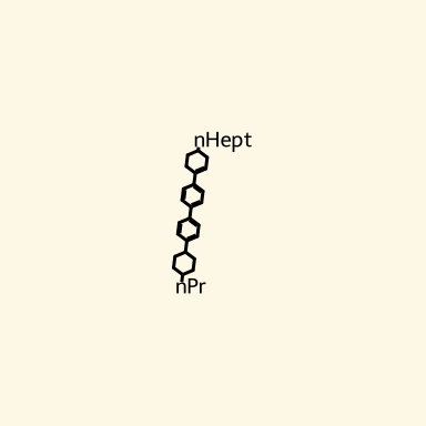 CCCCCCCC1CC=C(c2ccc(-c3ccc(C4CCC(CCC)CC4)cc3)cc2)CC1